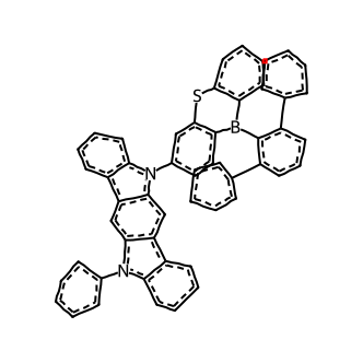 c1ccc(-c2cccc(-c3ccccc3)c2B2c3ccccc3Sc3cc(-n4c5ccccc5c5cc6c(cc54)c4ccccc4n6-c4ccccc4)ccc32)cc1